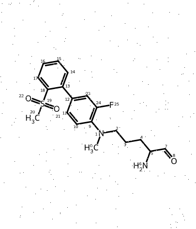 CN(CCCC(N)C=O)c1ccc(-c2ccccc2S(C)(=O)=O)cc1F